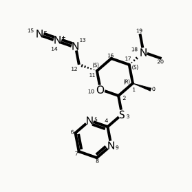 C[C@H]1C(Sc2ncccn2)O[C@H](CN=[N+]=[N-])C[C@@H]1N(C)C